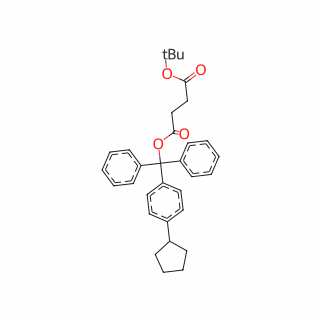 CC(C)(C)OC(=O)CCC(=O)OC(c1ccccc1)(c1ccccc1)c1ccc(C2CCCC2)cc1